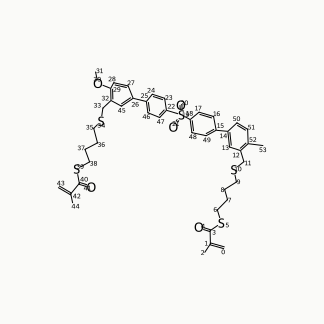 C=C(C)C(=O)SCCCCSCc1cc(-c2ccc(S(=O)(=O)c3ccc(-c4ccc(OC)c(CSCCCCSC(=O)C(=C)C)c4)cc3)cc2)ccc1C